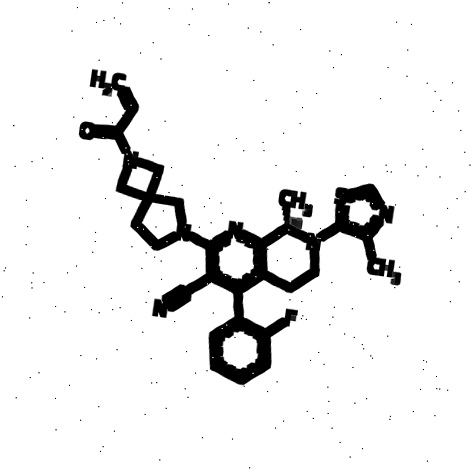 C=CC(=O)N1CC2(CCN(c3nc4c(c(-c5ccccc5F)c3C#N)CCN(c3scnc3C)[C@H]4C)C2)C1